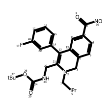 CC(C)CN1Cc2ccc(C(=O)N=O)cc2C(c2cccc(F)c2)=C1CNC(=O)OC(C)(C)C